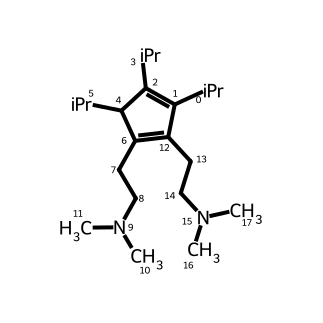 CC(C)C1=C(C(C)C)C(C(C)C)C(CCN(C)C)=C1CCN(C)C